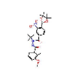 COc1cccc(C(=O)NN(C(=O)c2ccc(B3OC(C)(C)C(C)(C)O3)c([N+](=O)[O-])c2)C(C)(C)C)c1C